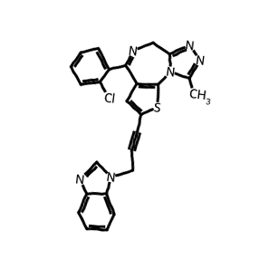 Cc1nnc2n1-c1sc(C#CCn3cnc4ccccc43)cc1C(c1ccccc1Cl)=NC2